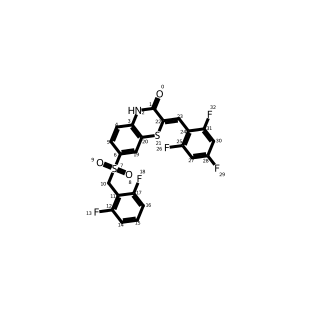 O=C1Nc2ccc(S(=O)(=O)Cc3c(F)cccc3F)cc2SC1=Cc1c(F)cc(F)cc1F